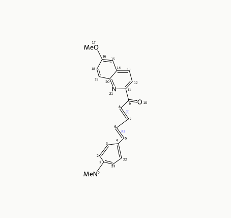 CNc1ccc(/C=C/C=C/C(=O)c2ccc3cc(OC)ccc3n2)cc1